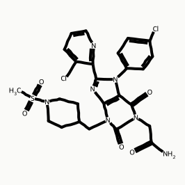 CS(=O)(=O)N1CCC(Cn2c(=O)n(CC(N)=O)c(=O)c3c2nc(-c2ncccc2Cl)n3-c2ccc(Cl)cc2)CC1